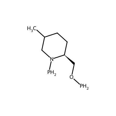 CC1CC[C@@H](COP)N(P)C1